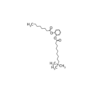 CCCCCCCC(=O)Oc1ccccc1OC(=O)CCCCCCCCC(C)(C)C